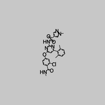 CNC(=O)c1ccc(Oc2cc(-c3c(C)cccc3C)nc(NS(=O)(=O)c3cnn(C)c3)n2)cc1Cl